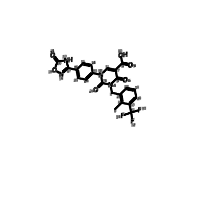 Cc1c(Cn2c(=O)c(C(=O)O)cn(-c3ccc(-c4noc(=O)[nH]4)cc3)c2=O)cccc1C(F)(F)F